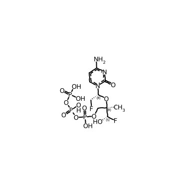 C[C@](COP(=O)(O)OP(=O)(O)OP(=O)(O)O)(O[C@H](CF)n1ccc(N)nc1=O)[C@@H](O)F